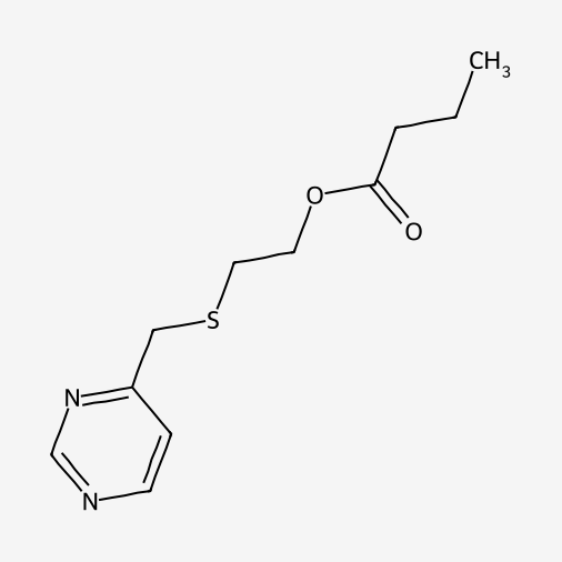 CCCC(=O)OCCSCc1ccncn1